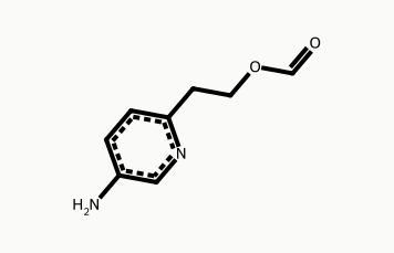 Nc1ccc(CCOC=O)nc1